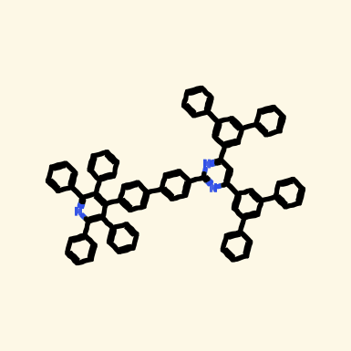 c1ccc(-c2cc(-c3ccccc3)cc(-c3cc(-c4cc(-c5ccccc5)cc(-c5ccccc5)c4)nc(-c4ccc(-c5ccc(-c6c(-c7ccccc7)c(-c7ccccc7)nc(-c7ccccc7)c6-c6ccccc6)cc5)cc4)n3)c2)cc1